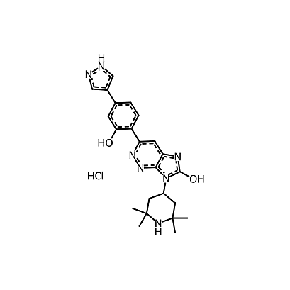 CC1(C)CC(n2c(O)nc3cc(-c4ccc(-c5cn[nH]c5)cc4O)nnc32)CC(C)(C)N1.Cl